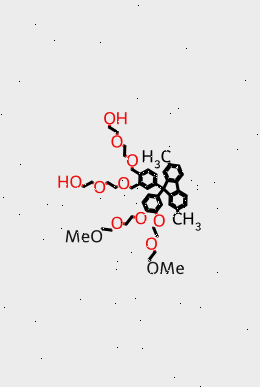 COCCOCCOc1ccc(C2(c3ccc(COCCOCCO)c(COCCOCCO)c3)c3cc(C)ccc3-c3ccc(C)cc32)cc1OCCOCCOC